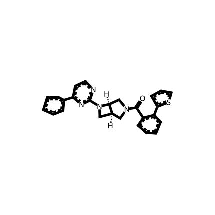 O=C(c1ccccc1-c1cccs1)N1C[C@H]2CN(c3nccc(-c4ccccc4)n3)[C@H]2C1